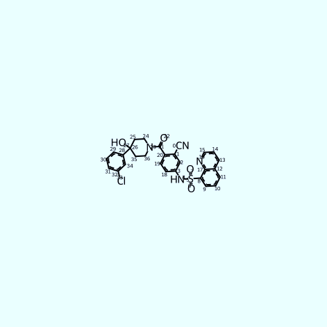 N#Cc1cc(NS(=O)(=O)c2cccc3cccnc23)ccc1C(=O)N1CCC(O)(c2cccc(Cl)c2)CC1